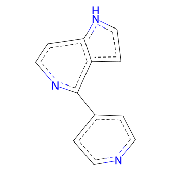 c1cc(-c2nccc3[nH]ccc23)ccn1